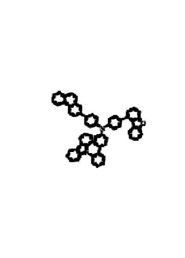 c1ccc(-n2c3ccccc3c3ccccc32)c(-c2ccc(N(c3ccc(-c4ccc5c(ccc6ccccc65)c4)cc3)c3ccc(-c4cccc5oc6ccccc6c45)cc3)cc2)c1